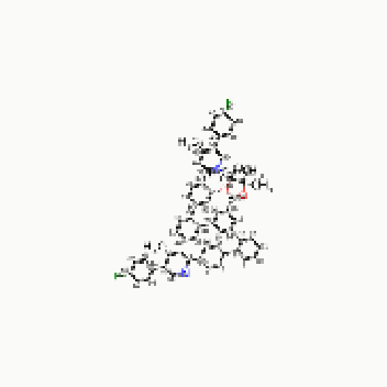 Cc1cc(-c2ccc(-c3ccccc3-c3cc(B4OC(C)(C)C(C)(C)O4)cc(-c4ccccc4-c4ccc(-c5cc(C)c(-c6ccc(F)cc6)cn5)cc4)c3)cc2)ncc1-c1ccc(F)cc1